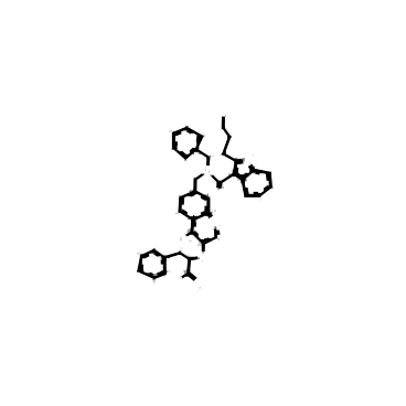 CCCCc1oc2ccccc2c1C(=O)N(Cc1ccccc1)Cc1ccc2c(Br)c(OC(Cc3ccccc3)C(=O)O)ccc2c1